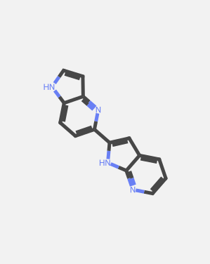 c1cnc2[nH]c(-c3ccc4[nH]ccc4n3)cc2c1